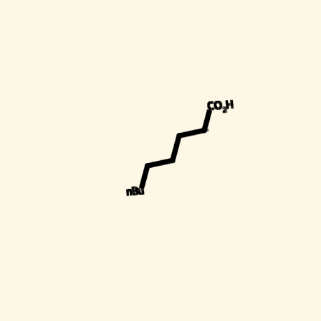 [CH2]CCCCCC[CH]C(=O)O